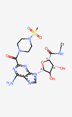 CCNC(=O)[C@H]1O[C@@H](n2cnc3c(N)nc(C(=O)N4CCN(S(C)(=O)=O)CC4)nc32)C(O)[C@H]1O